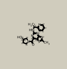 Cc1nc2nc(N[C@@H](C)c3ccccn3)nc(C(=O)N3CC[C@@H](O)C3)c2s1